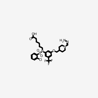 N/N=C\N1CCC(COc2cc(N(CCCCCC(=O)O)S(=O)(=O)c3ccccc3Cl)cc(C(F)(F)F)c2)CC1